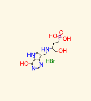 Br.O=P(O)(O)CC[C@@H](CO)NCc1c[nH]c2c(O)ncnc12